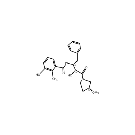 CO[C@H]1CCN(C(=O)[C@@H](O)[C@H](Cc2ccccc2)NC(=O)c2cccc(O)c2C)C1